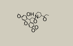 CCC(=O)C1CCCN(C(=O)CC(c2ccc3c(c2)OCO3)c2c(O)cc(OC)cc2OC)C1